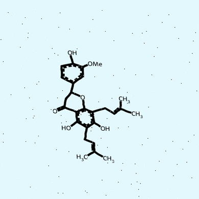 COc1cc(C2CC(=O)c3c(O)c(CC=C(C)C)c(O)c(CC=C(C)C)c3O2)ccc1O